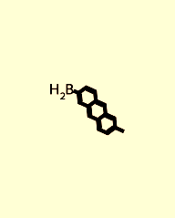 Bc1ccc2cc3cc(C)ccc3cc2c1